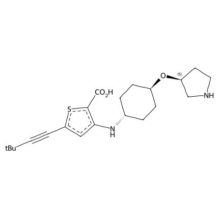 CC(C)(C)C#Cc1cc(N[C@H]2CC[C@H](O[C@H]3CCNC3)CC2)c(C(=O)O)s1